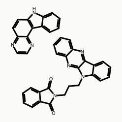 O=C1c2ccccc2C(=O)N1CCCn1c2ccccc2c2nc3ccccc3nc21.c1ccc2c(c1)[nH]c1ccc3nccnc3c12